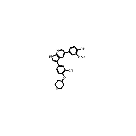 COc1cc(-c2cnc3[nH]cc(-c4ccc(OC5CCOCC5)c(C#N)c4)c3c2)ccc1O